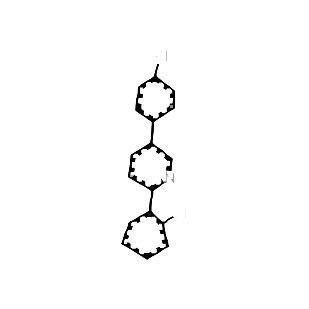 Clc1ccc(-c2[c]cc(-c3ccccc3Cl)nc2)cc1